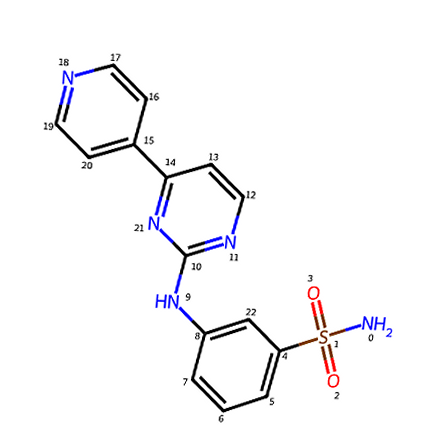 NS(=O)(=O)c1cccc(Nc2nccc(-c3ccncc3)n2)c1